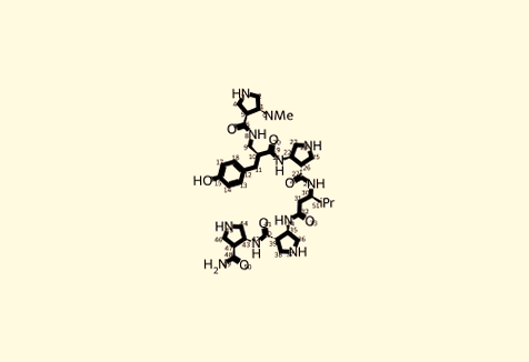 CN[C@H]1CNC[C@@H]1C(=O)NC[C@H](Cc1ccc(O)cc1)C(=O)N[C@H]1CNC[C@@H]1C(=O)N[C@H](CC(=O)N[C@H]1CNC[C@@H]1C(=O)N[C@H]1CNC[C@@H]1C(N)=O)C(C)C